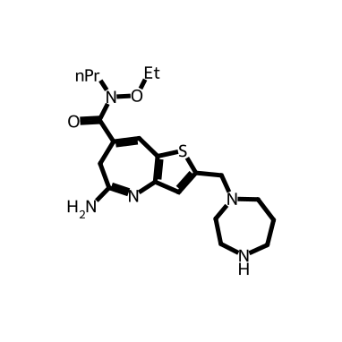 CCCN(OCC)C(=O)C1=Cc2sc(CN3CCCNCC3)cc2N=C(N)C1